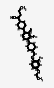 CCCC(O)C1CCC(c2ccc(C3CCC(COc4ccc(OCC)cc4F)CC3)c(F)c2F)CC1